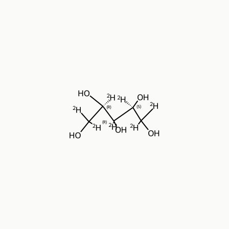 [2H]C([2H])(O)[C@]([2H])(O)[C@@]([2H])(O)[C@]([2H])(O)C([2H])([2H])O